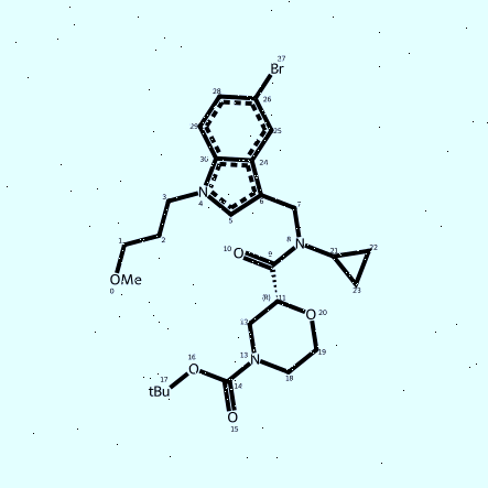 COCCCn1cc(CN(C(=O)[C@H]2CN(C(=O)OC(C)(C)C)CCO2)C2CC2)c2cc(Br)ccc21